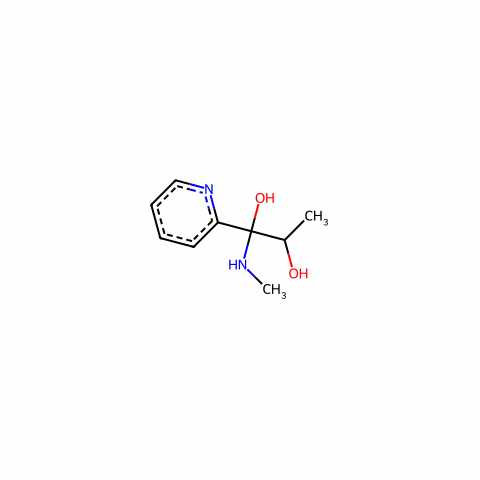 CNC(O)(c1ccccn1)C(C)O